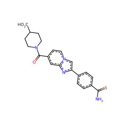 NC(=S)c1ccc(-c2cn3ccc(C(=O)N4CCC(C(=O)O)CC4)cc3n2)cc1